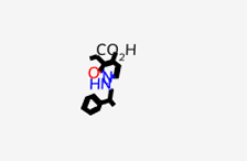 Cc1ccn(NCC(C)c2ccccc2)c(=O)c1C(C)C(=O)O